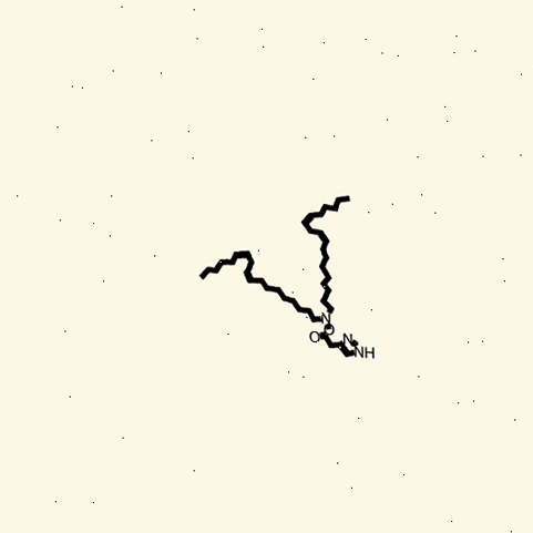 CCCCC/C=C\C/C=C\CCCCCCCCN(CCCCCCCC/C=C\C/C=C\CCCCC)OC(=O)Cc1c[nH]cn1